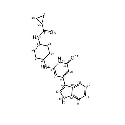 O=C(NC1CCC(Nc2cc(-c3c[nH]c4ncccc34)cc(=O)[nH]2)CC1)C1CC1